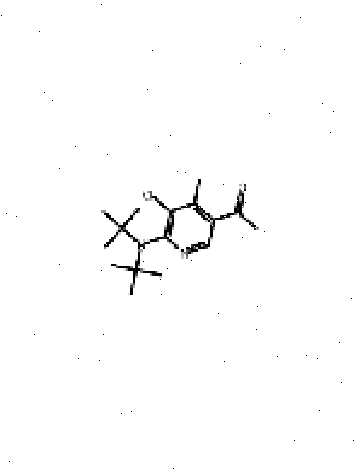 CC(=O)c1cnc(N(C(C)(C)C)C(C)(C)C)c(Cl)c1C